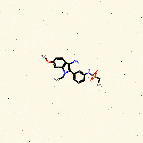 CCn1c(-c2cccc(NS(=O)(=O)CC)c2)c(N)c2ccc(OC)cc21